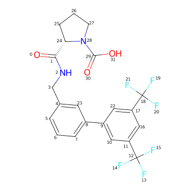 O=C(NCc1cccc(-c2cc(C(F)(F)F)cc(C(F)(F)F)c2)c1)[C@@H]1CCCN1C(=O)O